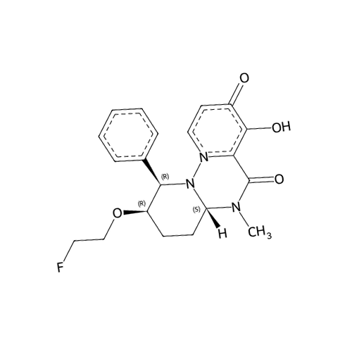 CN1C(=O)c2c(O)c(=O)ccn2N2[C@H](c3ccccc3)[C@H](OCCF)CC[C@@H]12